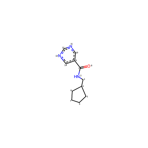 O=C(NCC1CCCC1)c1cncnc1